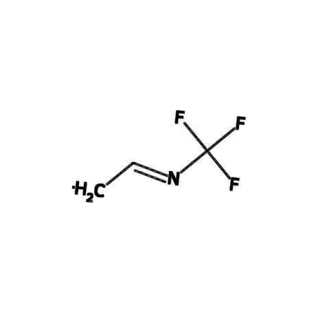 [CH2]C=NC(F)(F)F